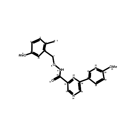 COc1ccc(F)c(CONC(=O)c2cncc(-c3ccc(OC)nc3)n2)c1